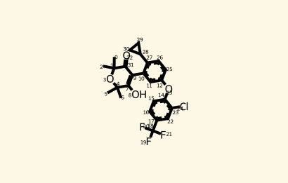 CC1(C)OC(C)(C)C(O)=C(c2cc(Oc3ccc(C(F)(F)F)cc3Cl)ccc2C2CC2)C1=O